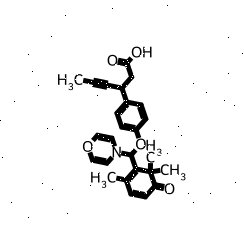 CC#CC(CC(=O)O)c1ccc(OC(C2=C(C)C=CC(=O)C2(C)C)N2C=COC=C2)cc1